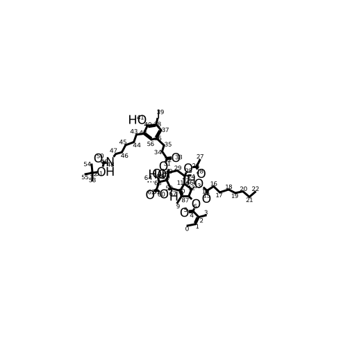 C/C=C(/C)C(=O)OC1C(C)=C2[C@H]([C@@H]1OC(=O)CCCCCCC)[C@@](C)(OC(C)=O)CC(OC(=O)CCc1cc(I)c(O)c(CCCCCNC(=O)OC(C)(C)C)c1)[C@@]1(O)[C@H]2OC(=O)[C@@]1(C)O